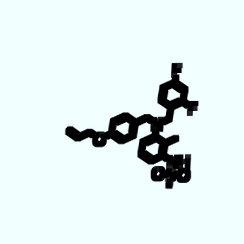 C=CCOc1ccc(CN(Cc2ccc(F)cc2F)c2cccc(NS(C)(=O)=O)c2C)cc1